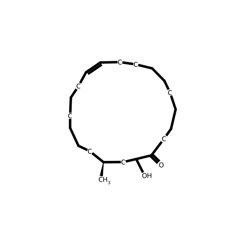 C[C@H]1CCCCCC/C=C\CCCCCCCCC(=O)C(O)C1